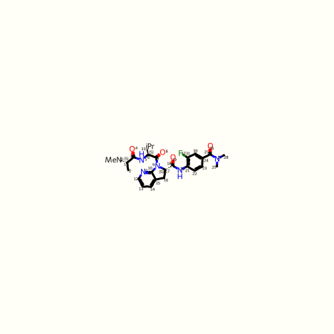 CN[C@@H](C)C(=O)N[C@H](C(=O)N1c2ncccc2C[C@H]1C(=O)Nc1ccc(C(=O)N(C)C)cc1F)C(C)C